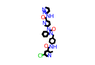 Cc1ncc(Cl)cc1C(=O)NC1CCC(Cn2c(=O)n(-c3ccc(C(=O)Nc4cccnn4)nc3)c3ccccc32)CC1